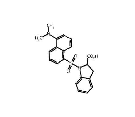 CN(C)c1cccc2c(S(=O)(=O)N3c4ccccc4CC3C(=O)O)cccc12